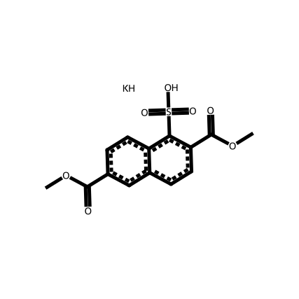 COC(=O)c1ccc2c(S(=O)(=O)O)c(C(=O)OC)ccc2c1.[KH]